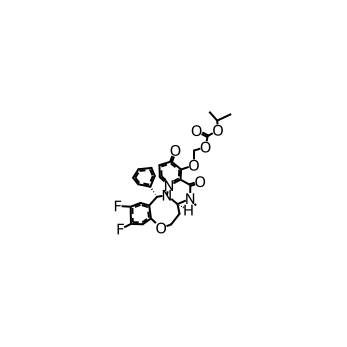 CC(C)OC(=O)OCOc1c2n(ccc1=O)N1[C@@H](c3ccccc3)c3cc(F)c(F)cc3OCC[C@@H]1N(C)C2=O